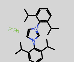 CC(C)c1cccc(C(C)C)c1-n1cc[n+](-c2c(C(C)C)cccc2C(C)C)c1.F.[F-]